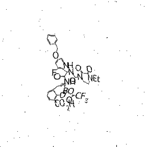 CCN1CCN(C(=O)NC(C(=O)N[C@H]2Cc3cccc(C(=O)O)c3OB2OC(=O)C(F)(F)F)c2ncc(OCc3ccccc3)cc2F)C(=O)C1=O